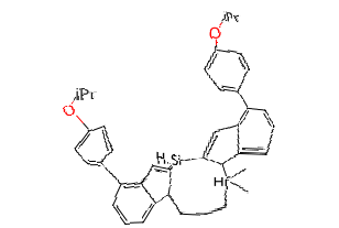 CC(C)Oc1ccc(-c2cccc3c2C=C2[SiH2]C4=Cc5c(-c6ccc(OC(C)C)cc6)cccc5[CH]4[Hf]([CH3])([CH3])[CH2]CCC23)cc1